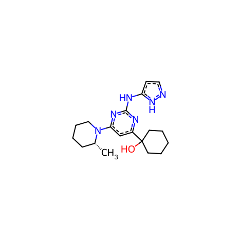 C[C@@H]1CCCCN1c1cc(C2(O)CCCCC2)nc(Nc2ccn[nH]2)n1